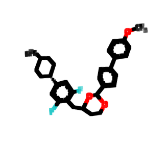 CCC[C@H]1CC[C@H](c2cc(F)c(CC3CCOC(c4ccc(-c5ccc(OC(F)(F)F)cc5)cc4)O3)c(F)c2)CC1